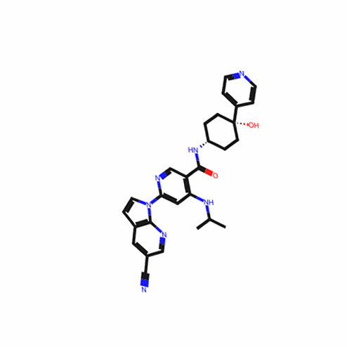 CC(C)Nc1cc(-n2ccc3cc(C#N)cnc32)ncc1C(=O)N[C@H]1CC[C@](O)(c2ccncc2)CC1